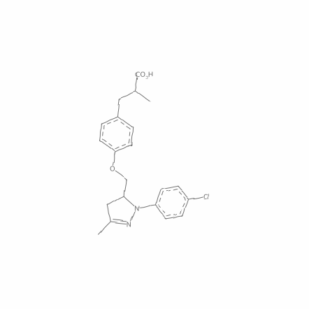 CC1=NN(c2ccc(Cl)cc2)C(COc2ccc(CC(C)C(=O)O)cc2)C1